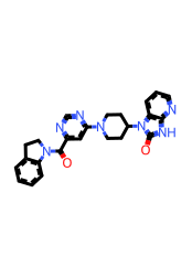 O=C(c1cc(N2CCC(n3c(=O)[nH]c4ncccc43)CC2)ncn1)N1CCc2ccccc21